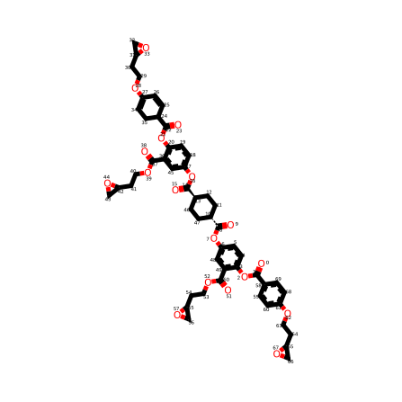 O=C(Oc1ccc(OC(=O)[C@H]2CC[C@H](C(=O)Oc3ccc(OC(=O)C4C=CC(OCCC5CO5)=CC4)c(C(=O)OCCC4CO4)c3)CC2)cc1C(=O)OCCC1CO1)c1ccc(OCCC2CO2)cc1